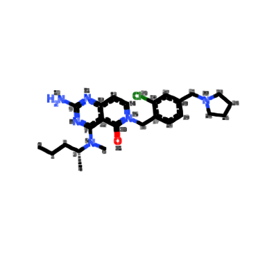 CCC[C@@H](C)N(C)c1nc(N)nc2ccn(Cc3ccc(CN4CCCC4)cc3Cl)c(=O)c12